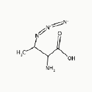 CC(N=[N+]=[N-])C(N)C(=O)O